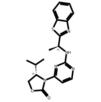 CC(C)[C@H]1COC(=O)N1c1ccnc(N[C@@H](C)c2nc3ccccc3s2)n1